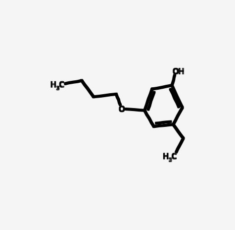 CCCCOc1cc(O)cc(CC)c1